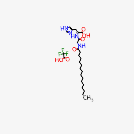 CCCCCCCCCCCCCCCC(=O)NCC(=O)N[C@@H](Cc1c[nH]cn1)C(=O)O.O=C(O)C(F)(F)F